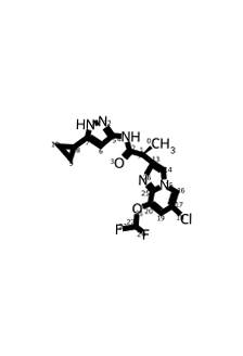 C[C@H](C(=O)Nc1cc(C2CC2)[nH]n1)c1cn2cc(Cl)cc(OC(F)F)c2n1